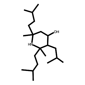 CC(C)CCC1(C)CC(O)C(CC(C)C)C(C)(CCC(C)C)N1